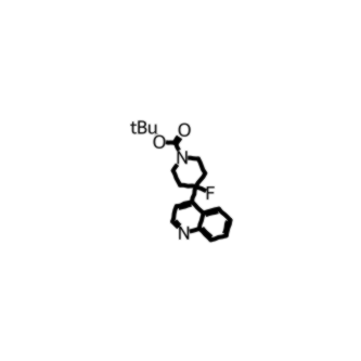 CC(C)(C)OC(=O)N1CCC(F)(c2ccnc3ccccc23)CC1